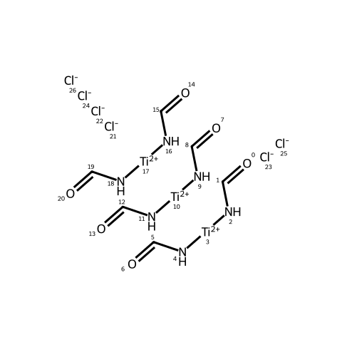 O=C[NH][Ti+2][NH]C=O.O=C[NH][Ti+2][NH]C=O.O=C[NH][Ti+2][NH]C=O.[Cl-].[Cl-].[Cl-].[Cl-].[Cl-].[Cl-]